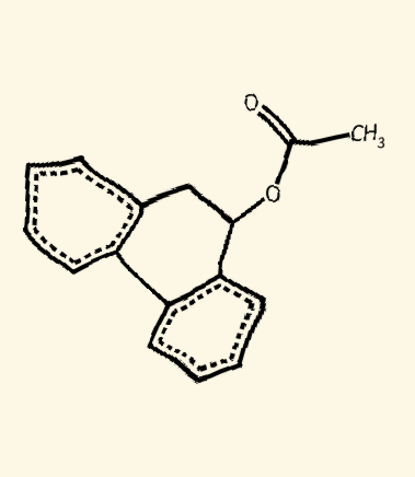 CC(=O)OC1Cc2ccccc2-c2ccccc21